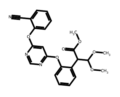 COC(=O)C(c1ccccc1Oc1cc(Oc2ccccc2C#N)ncn1)C(OC)OC